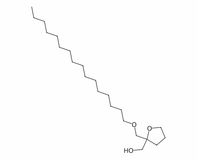 CCCCCCCCCCCCCCCCOCC1(CO)CCCO1